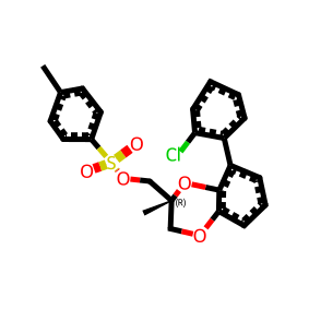 Cc1ccc(S(=O)(=O)OC[C@@]2(C)COc3cccc(-c4ccccc4Cl)c3O2)cc1